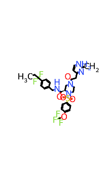 C=C/N=C(\C=C/N)CC(=O)N1CCN(S(=O)(=O)c2ccc(OC(F)(F)F)cc2)[C@@H](C(=O)NCc2ccc(C(F)(F)CC)cc2)C1